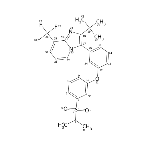 CC(C)S(=O)(=O)c1cccc(Oc2cccc(-c3c(C(C)(C)C)nc4c(C(F)(F)F)cccn34)c2)c1